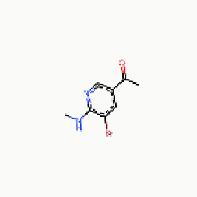 CNc1ncc(C(C)=O)cc1Br